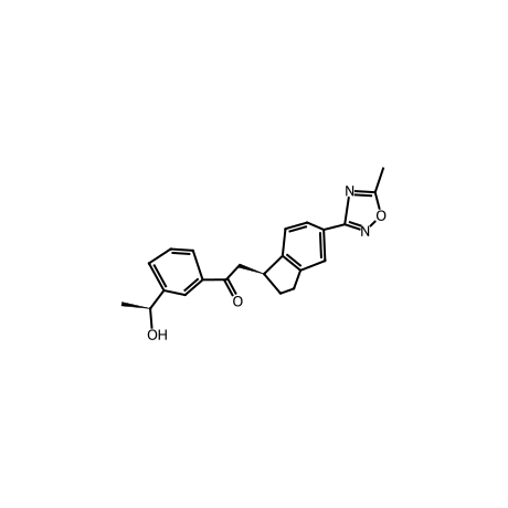 Cc1nc(-c2ccc3c(c2)CC[C@H]3CC(=O)c2cccc([C@H](C)O)c2)no1